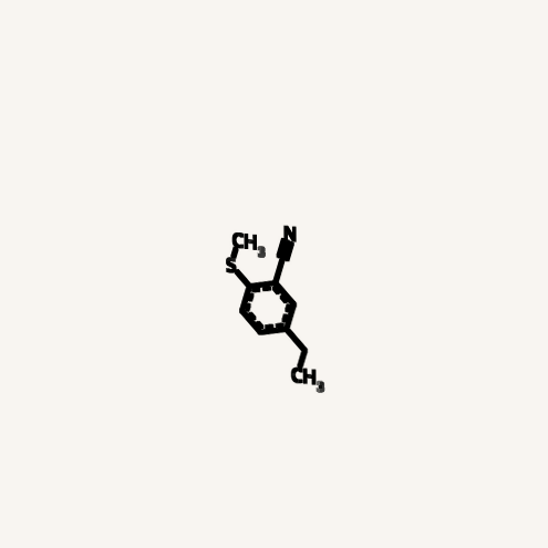 CCc1ccc(SC)c(C#N)c1